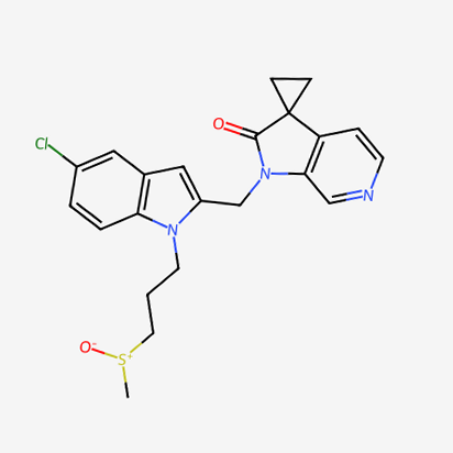 C[S+]([O-])CCCn1c(CN2C(=O)C3(CC3)c3ccncc32)cc2cc(Cl)ccc21